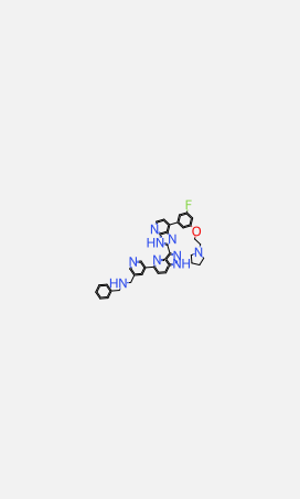 Fc1cc(OCCN2CCCC2)cc(-c2ccnc3[nH]c(-c4n[nH]c5ccc(-c6cncc(CNCc7ccccc7)c6)nc45)nc23)c1